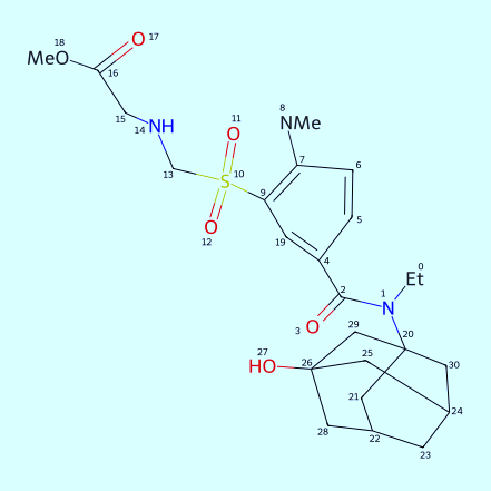 CCN(C(=O)c1ccc(NC)c(S(=O)(=O)CNCC(=O)OC)c1)C12CC3CC(CC(O)(C3)C1)C2